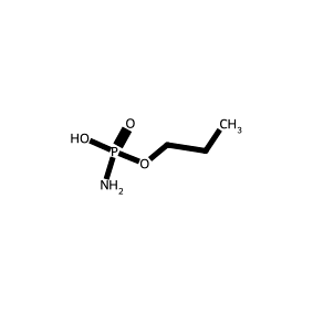 CCCOP(N)(=O)O